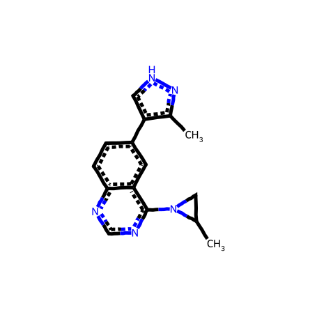 Cc1n[nH]cc1-c1ccc2ncnc(N3CC3C)c2c1